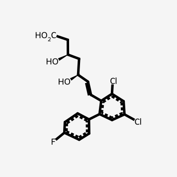 O=C(O)C[C@H](O)C[C@H](O)C=Cc1c(Cl)cc(Cl)cc1-c1ccc(F)cc1